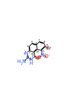 Nc1nc2ccc3ccc(Br)c([N+](=O)[O-])c3c2c(=O)[nH]1